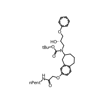 CCCCCNC(=O)COc1ccc2c(c1)CC(N(C[C@H](O)COc1ccccc1)C(=O)OC(C)(C)C)CCC2